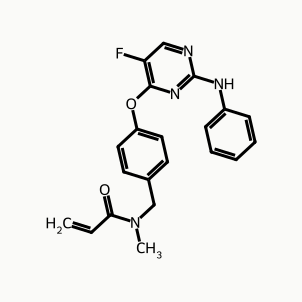 C=CC(=O)N(C)Cc1ccc(Oc2nc(Nc3ccccc3)ncc2F)cc1